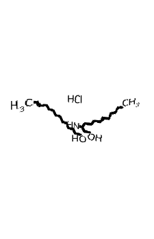 CCCCCCCCCCCC(CCO)NC(CCO)CCCCCCCCCCC.Cl